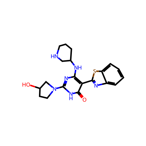 O=c1[nH]c(N2CCC(O)C2)nc(NC2CCCNC2)c1-c1nc2ccccc2s1